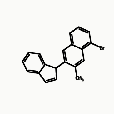 Cc1cc2c(Br)cccc2cc1C1C=Cc2ccccc21